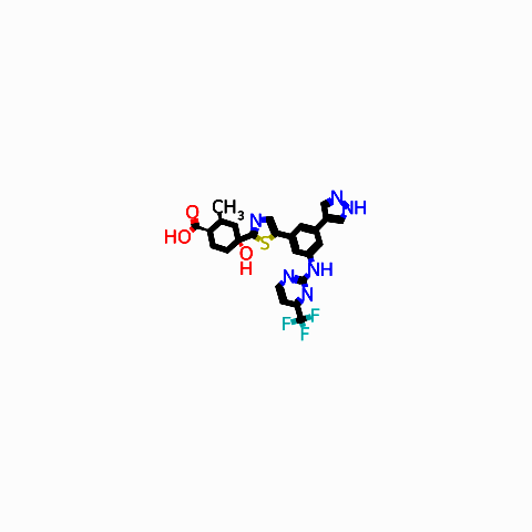 C[C@H]1C[C@](O)(c2ncc(-c3cc(Nc4nccc(C(F)(F)F)n4)cc(-c4cn[nH]c4)c3)s2)CC[C@H]1C(=O)O